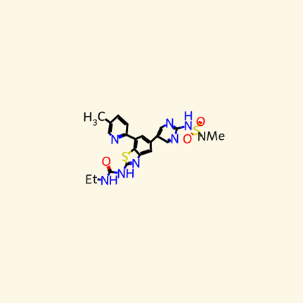 CCNC(=O)Nc1nc2cc(-c3cnc(NS(=O)(=O)NC)nc3)cc(-c3ccc(C)cn3)c2s1